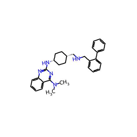 CN(C)c1nc(N[C@H]2CC[C@@H](CNCc3ccccc3-c3ccccc3)CC2)nc2ccccc12